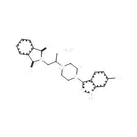 CC(CN1C(=O)c2ccccc2C1=O)N1CCN(c2n[nH]c3cc(F)ccc23)CC1.Cl